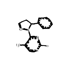 FC(F)(F)c1cnc(Cl)nc1N1OCCC1c1ccccc1